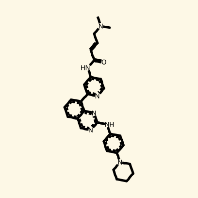 CN(C)CC=CC(=O)Nc1ccnc(-c2cccc3cnc(Nc4ccc(N5CCCCC5)cc4)nc23)c1